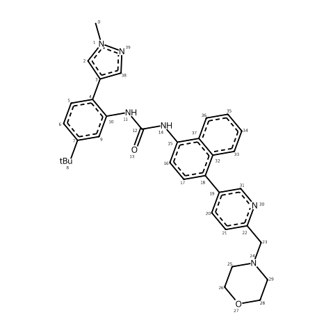 Cn1cc(-c2ccc(C(C)(C)C)cc2NC(=O)Nc2ccc(-c3ccc(CN4CCOCC4)nc3)c3ccccc23)cn1